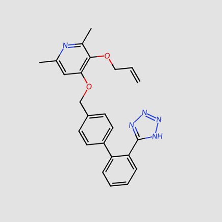 C=CCOc1c(OCc2ccc(-c3ccccc3-c3nnn[nH]3)cc2)cc(C)nc1C